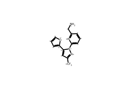 NCc1cccc(-n2nc(C(F)(F)F)cc2-c2ccco2)n1